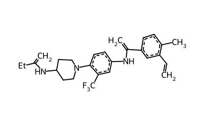 C=Cc1cc(C(=C)Nc2ccc(N3CCC(NC(=C)CC)CC3)c(C(F)(F)F)c2)ccc1C